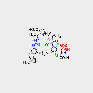 C/C(=N\NC(=O)Nc1cc(F)cc(F)c1)c1ncccc1C(=O)O.CC(C)=C1OC(=O)N(c2cc(OC3CCCC3)c(Cl)cc2F)C1=O.C[S+](C)C.O=C(O)CNCP(=O)([O-])O